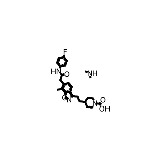 CNC.Cc1c(CC(=O)Nc2ccc(F)cc2)ccc2c(CCC3CCN(C(=O)O)CC3)noc12